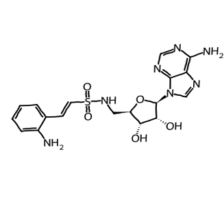 Nc1ccccc1/C=C/S(=O)(=O)NC[C@H]1O[C@@H](n2cnc3c(N)ncnc32)[C@H](O)[C@@H]1O